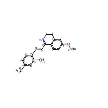 CCCCOc1ccc2c(c1)CCN=C2C=Cc1ccc(C)cc1C